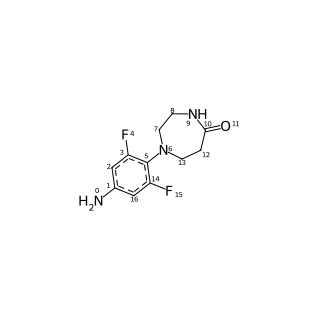 Nc1cc(F)c(N2CCNC(=O)CC2)c(F)c1